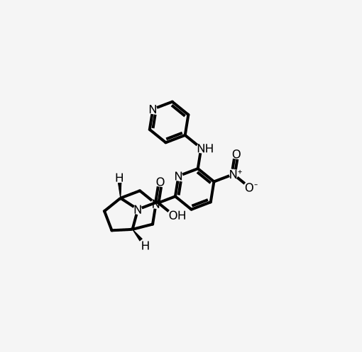 O=C(O)N1[C@@H]2CC[C@H]1CN(c1ccc([N+](=O)[O-])c(Nc3ccncc3)n1)C2